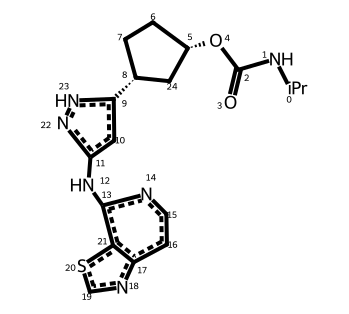 CC(C)NC(=O)O[C@H]1CC[C@@H](c2cc(Nc3nccc4ncsc34)n[nH]2)C1